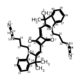 CC1(C)C(/C=C2\C(=O)C(/C=C3\N(CCCN=[N+]=[N-])c4ccccc4C3(C)C)=C2[O-])=[N+](CCCN=[N+]=[N-])c2ccccc21